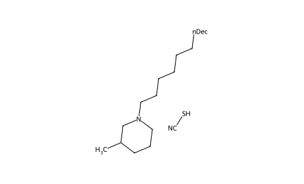 CCCCCCCCCCCCCCCCN1CCCC(C)C1.N#CS